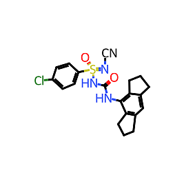 N#CN=S(=O)(NC(=O)Nc1c2c(cc3c1CCC3)CCC2)c1ccc(Cl)cc1